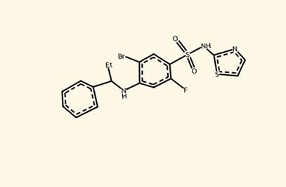 CCC(Nc1cc(F)c(S(=O)(=O)Nc2nccs2)cc1Br)c1ccccc1